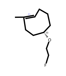 C/C1=C\CCC[C@H](OCCF)CC1